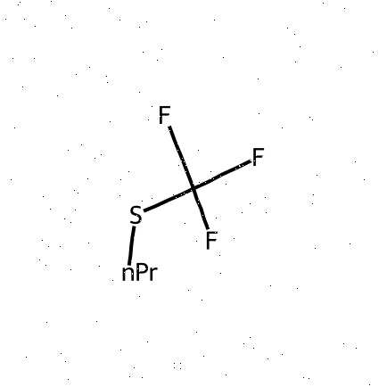 CCCSC(F)(F)F